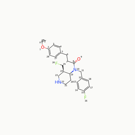 CC(C)Oc1ccc(CCC(=O)N(Cc2ccc(F)cc2)[C@H]2CCNC[C@H]2CF)cc1